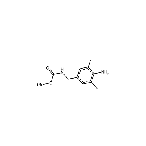 Cc1cc(CNC(=O)OC(C)(C)C)cc(I)c1N